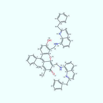 Cc1ccccc1-c1c2cc(C)c(=O)c(CNc3cccc4ccc(Cc5ccccc5)nc34)c-2oc2c(CNc3cccc4ccc(Cc5ccccc5)nc34)c(O)ccc12